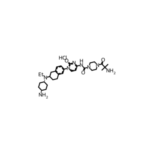 CCN(C1CCc2cc(-n3ccc(NC(=O)N4CCN(C(=O)C(C)(C)N)CC4)nc3=O)ccc2C1)[C@H]1CC[C@H](N)CC1.Cl